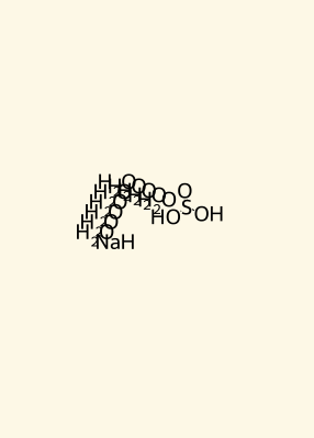 O.O.O.O.O.O.O.O.O.O.O=S(O)O.[NaH]